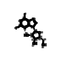 Cc1nc(F)nc2c1N=CC2[C@@H]1O[C@H](CO)[C@@H](O)[C@@H]1O